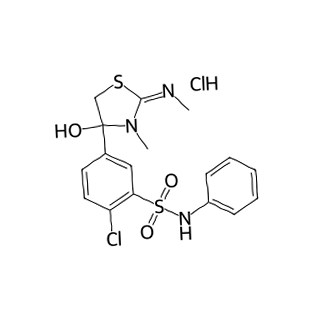 CN=C1SCC(O)(c2ccc(Cl)c(S(=O)(=O)Nc3ccccc3)c2)N1C.Cl